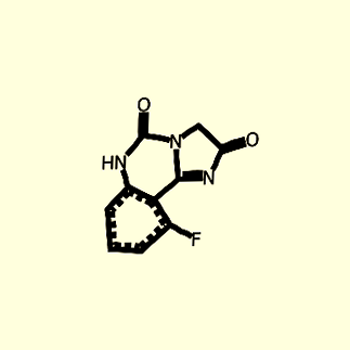 O=C1CN2C(=O)Nc3cccc(F)c3C2=N1